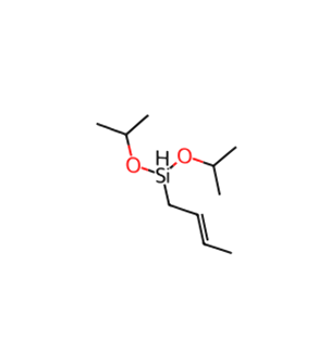 CC=CC[SiH](OC(C)C)OC(C)C